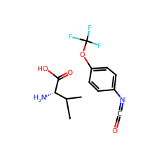 CC(C)[C@H](N)C(=O)O.O=C=Nc1ccc(OC(F)(F)F)cc1